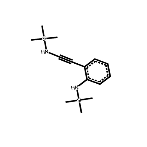 C[Si](C)(C)NC#Cc1ccccc1N[Si](C)(C)C